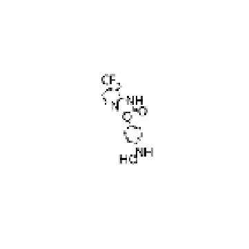 O=C(Nc1cc(C(F)(F)F)ccn1)Oc1ccc(NO)cc1